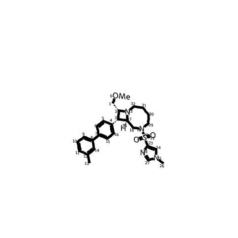 COC[C@H]1[C@@H](c2ccc(-c3cccc(C)c3)cc2)[C@@H]2CN(S(=O)(=O)c3cn(C)cn3)CCCCN12